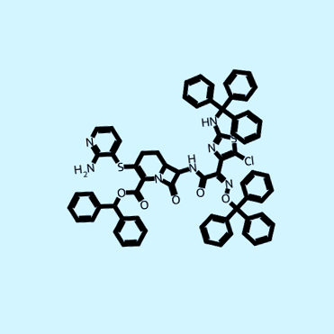 Nc1ncccc1SC1=C(C(=O)OC(c2ccccc2)c2ccccc2)N2C(=O)C(NC(=O)/C(=N\OC(c3ccccc3)(c3ccccc3)c3ccccc3)c3nc(NC(c4ccccc4)(c4ccccc4)c4ccccc4)sc3Cl)C2CC1